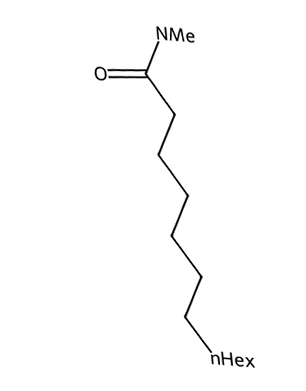 CCCCCCCCCCCCC(=O)NC